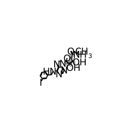 CNC(=O)[C@@H]1O[C@H](n2cnc3c(NCc4cccc(I)c4)ncnc32)[C@@H](O)[C@H]1O